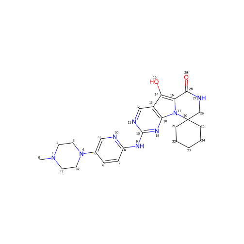 CN1CCN(c2ccc(Nc3ncc4c(O)c5n(c4n3)C3(CCCCC3)CNC5=O)nc2)CC1